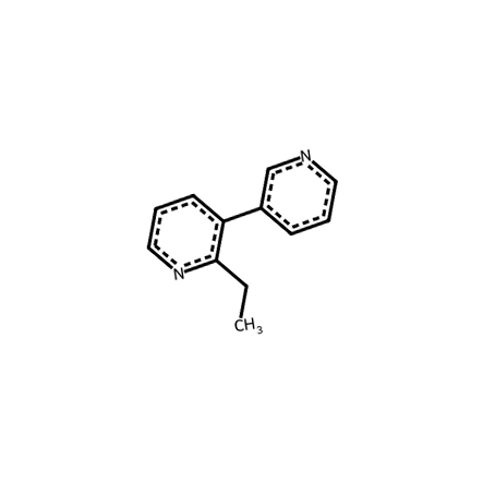 CCc1ncccc1-c1cccnc1